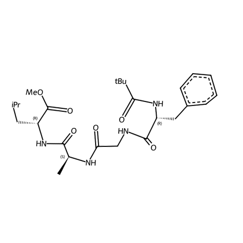 COC(=O)[C@@H](CC(C)C)NC(=O)[C@H](C)NC(=O)CNC(=O)[C@@H](Cc1ccccc1)NC(=O)C(C)(C)C